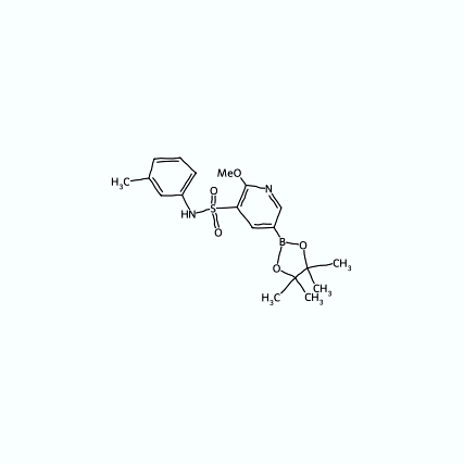 COc1ncc(B2OC(C)(C)C(C)(C)O2)cc1S(=O)(=O)Nc1cccc(C)c1